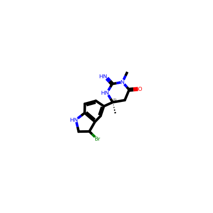 CN1C(=N)N[C@](C)(c2ccc3c(c2)C(Br)CN3)CC1=O